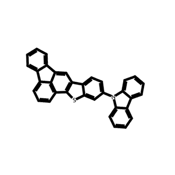 c1ccc2c(c1)-c1cccc3c1c-2cc1c2ccc(-n4c5ccccc5c5ccccc54)cc2sc31